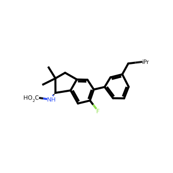 CC(C)Cc1cccc(-c2cc3c(cc2F)[C@H](NC(=O)O)C(C)(C)C3)c1